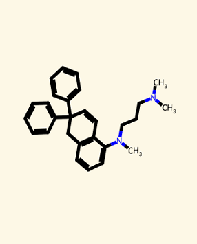 CN(C)CCCN(C)c1cccc2c1C=CC(c1ccccc1)(c1ccccc1)C2